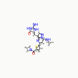 N=C1NC(=O)/C(=C/c2cnn3c(NC4CC4)cc(-c4ccc(C(=O)N5CCC5)s4)nc23)N1